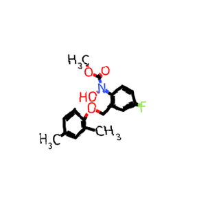 COC(=O)N(O)c1ccc(F)cc1COc1ccc(C)cc1C